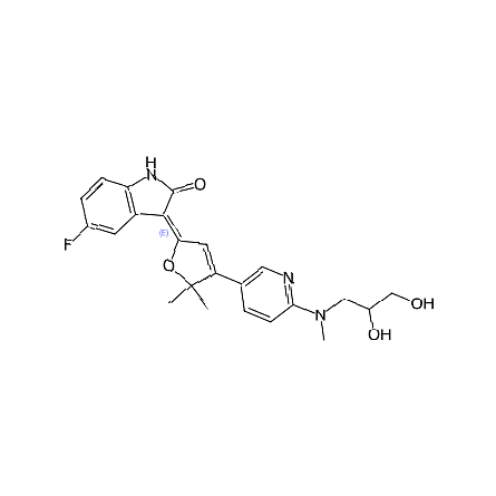 CN(CC(O)CO)c1ccc(C2=C/C(=C3\C(=O)Nc4ccc(F)cc43)OC2(C)C)cn1